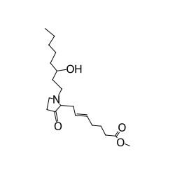 CCCCCC(O)CCN1CCC(=O)C1CC=CCCCC(=O)OC